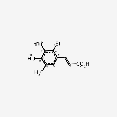 CCc1c(C=CC(=O)O)cc(C)c(O)c1C(C)(C)C